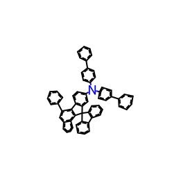 c1ccc(-c2ccc(N(c3ccc(-c4ccccc4)cc3)c3ccc4c(c3)C3(c5ccccc5-c5ccccc53)c3c-4c(-c4ccccc4)cc4ccccc34)cc2)cc1